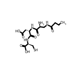 CCCC(=O)NC[C@H](N)C(=O)N[C@@H](CC(=O)O)C(=O)N[C@@H](CS)C(=O)O